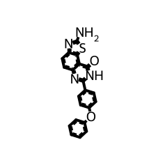 Nc1nc2ccc3nc(-c4ccc(Oc5ccccc5)cc4)[nH]c(=O)c3c2s1